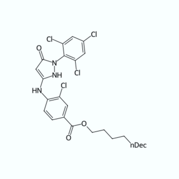 CCCCCCCCCCCCCCOC(=O)c1ccc(Nc2cc(=O)n(-c3c(Cl)cc(Cl)cc3Cl)[nH]2)c(Cl)c1